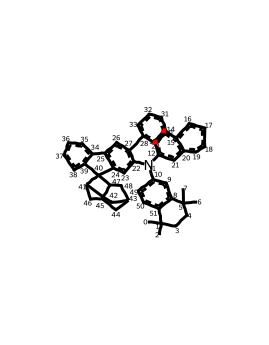 CC1(C)CCC(C)(C)c2cc(N(c3ccc4ccccc4c3)c3cc4c(cc3-c3ccccc3)-c3ccccc3C43C4CC5CC(C4)C3C5)ccc21